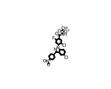 CS(=O)(=O)NC(=O)c1cc(Cl)c(-n2nc(-c3ccc([N+](=O)[O-])cc3)c3cc(Cl)ccc32)cc1F